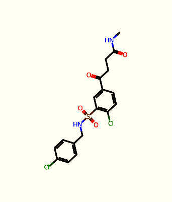 CNC(=O)CCC(=O)c1ccc(Cl)c(S(=O)(=O)NCc2ccc(Cl)cc2)c1